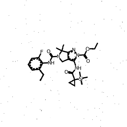 CCOC(=O)n1nc2c(c1NC(=O)C1([Si](C)(C)C)CC1)CN(C(=O)Nc1c(F)cccc1CC)C2(C)C